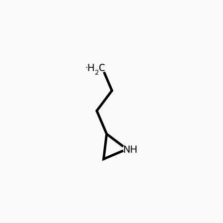 [CH2]CCC1CN1